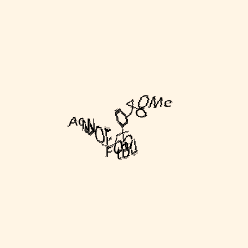 COC(=O)C1(Cc2cccc(C(C)(CCC(F)(F)COc3ccn(C(C)=O)n3)C(=O)OC(C)(C)C)c2)CC1